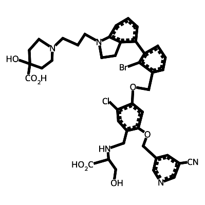 N#Cc1cncc(COc2cc(OCc3cccc(-c4cccc5c4CCN5CCCN4CCC(O)(C(=O)O)CC4)c3Br)c(Cl)cc2CNC(CO)C(=O)O)c1